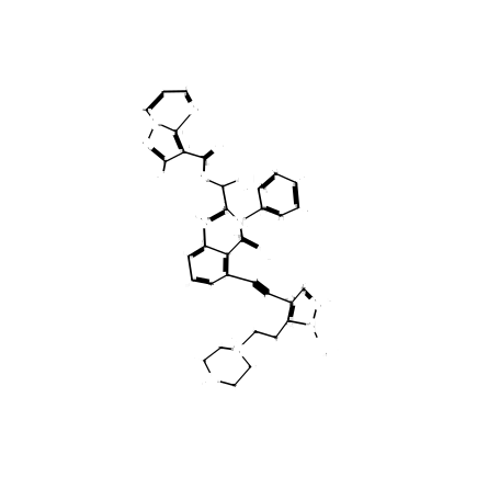 Cc1nn2cccnc2c1C(=O)NC(C)c1nc2cccc(C#Cc3cnn(C)c3CCN3CCOCC3)c2c(=O)n1-c1ccccc1